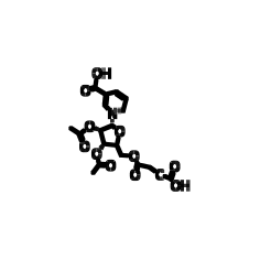 CC(=O)O[C@@H]1[C@H](OC(C)=O)C(COC(=O)CCC(=O)O)O[C@H]1[n+]1cccc(C(=O)O)c1